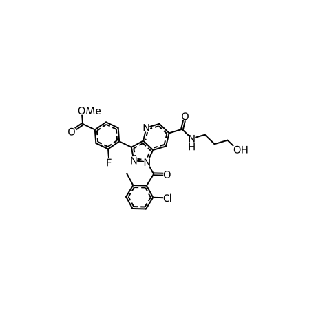 COC(=O)c1ccc(-c2nn(C(=O)c3c(C)cccc3Cl)c3cc(C(=O)NCCCO)cnc23)c(F)c1